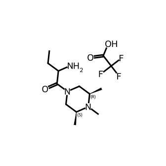 CCC(N)C(=O)N1C[C@@H](C)N(C)[C@@H](C)C1.O=C(O)C(F)(F)F